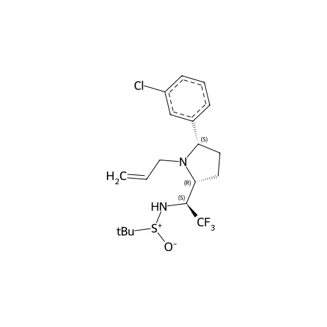 C=CCN1[C@@H]([C@H](N[S+]([O-])C(C)(C)C)C(F)(F)F)CC[C@H]1c1cccc(Cl)c1